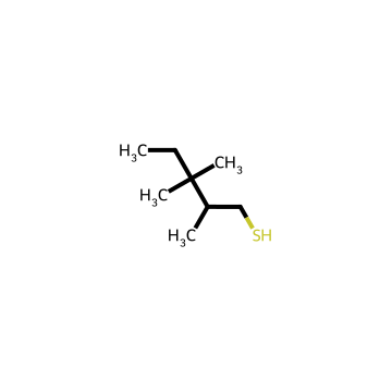 CCC(C)(C)C(C)CS